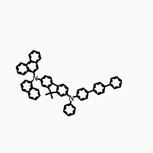 CC1(C)c2cc(N(c3ccccc3)c3ccc(-c4ccc(-c5ccccc5)cc4)cc3)ccc2-c2ccc(N(c3cccc4ccccc34)c3cc4ccccc4c4ccccc34)cc21